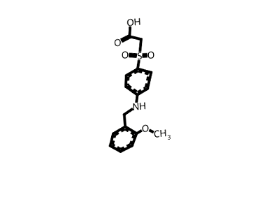 COc1ccccc1CNc1ccc(S(=O)(=O)CC(=O)O)cc1